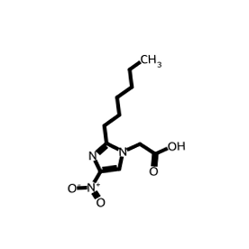 CCCCCCc1nc([N+](=O)[O-])cn1CC(=O)O